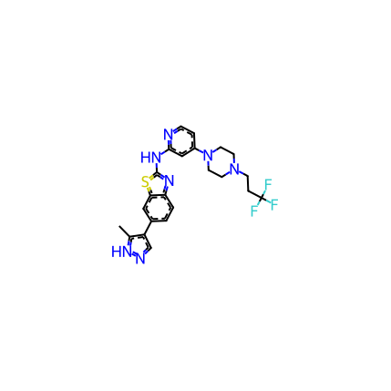 Cc1[nH]ncc1-c1ccc2nc(Nc3cc(N4CCN(CCC(F)(F)F)CC4)ccn3)sc2c1